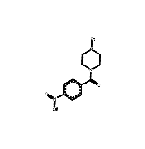 CCN1CCN(C(=O)c2ccc([N+](=O)O)cc2)CC1